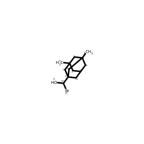 CC12CC3CC(C)(C1)CC(C(O)Br)(C3)C2